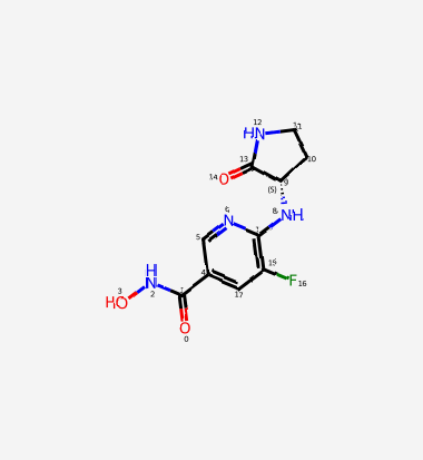 O=C(NO)c1cnc(N[C@H]2CCNC2=O)c(F)c1